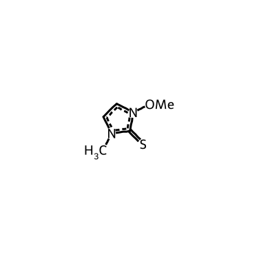 COn1ccn(C)c1=S